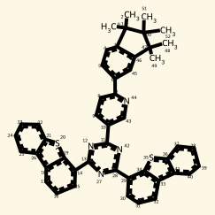 CC1(C)c2ccc(-c3ccc(-c4nc(-c5cccc6c5sc5ccccc56)nc(-c5cccc6c5sc5ccccc56)n4)cn3)cc2C(C)(C)C1(C)C